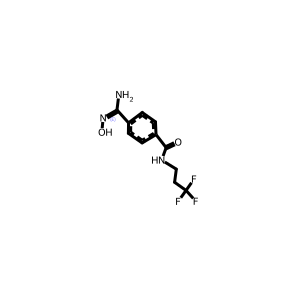 N/C(=N/O)c1ccc(C(=O)NCCC(F)(F)F)cc1